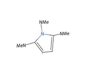 CNc1[c]cc(NC)n1NC